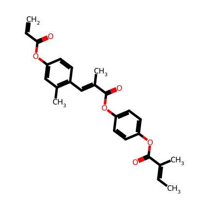 C=CC(=O)Oc1ccc(/C=C(\C)C(=O)Oc2ccc(OC(=O)/C(C)=C/C)cc2)c(C)c1